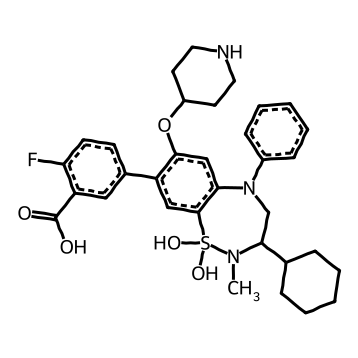 CN1C(C2CCCCC2)CN(c2ccccc2)c2cc(OC3CCNCC3)c(-c3ccc(F)c(C(=O)O)c3)cc2S1(O)O